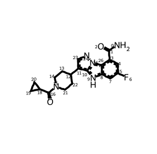 NC(=O)c1cc(F)cc2[nH]c3c(C4CCN(C(=O)C5CC5)CC4)cnn3c12